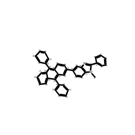 Cn1c(-c2ccccc2)nc2cc(-c3ccc4c(-c5ccccc5)c5ccccc5c(-c5ccccc5)c4c3)ccc21